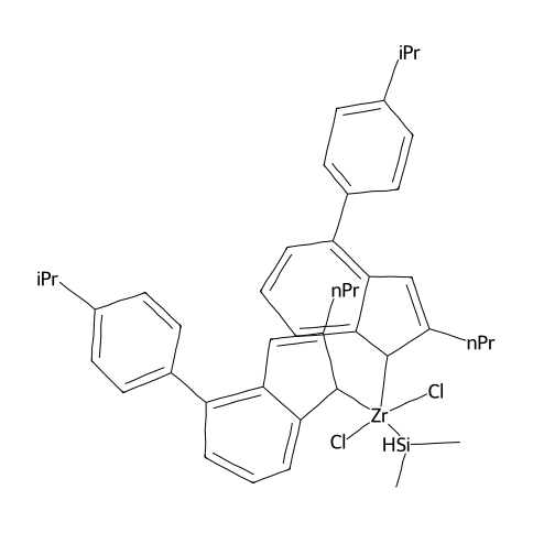 CCCC1=Cc2c(-c3ccc(C(C)C)cc3)cccc2[CH]1[Zr]([Cl])([Cl])([CH]1C(CCC)=Cc2c(-c3ccc(C(C)C)cc3)cccc21)[SiH](C)C